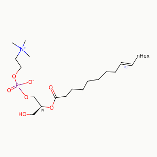 CCCCCC/C=C/CCCCCCCC(=O)O[C@@H](CO)COP(=O)([O-])OCC[N+](C)(C)C